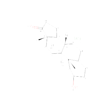 C[C@]12CC(O)CCC1CC[C@@H]1[C@@H]2CC[C@]2(C)C(=O)CC[C@@H]12.Cl